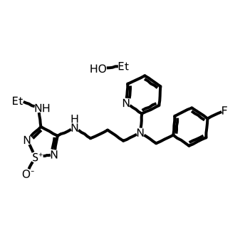 CCNc1n[s+]([O-])nc1NCCCN(Cc1ccc(F)cc1)c1ccccn1.CCO